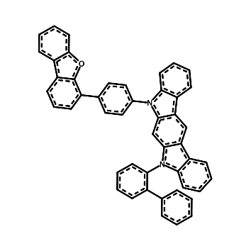 c1ccc(-c2ccccc2-n2c3ccccc3c3cc4c5ccccc5n(-c5ccc(-c6cccc7c6oc6ccccc67)cc5)c4cc32)cc1